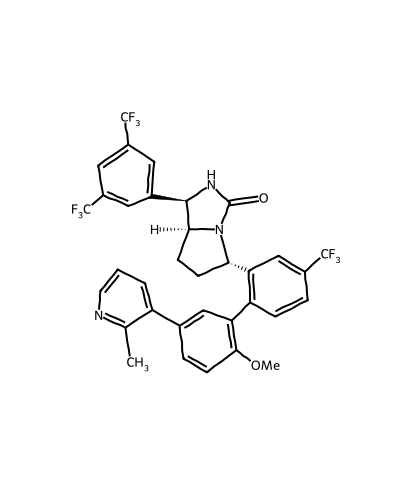 COc1ccc(-c2cccnc2C)cc1-c1ccc(C(F)(F)F)cc1[C@@H]1CC[C@H]2[C@@H](c3cc(C(F)(F)F)cc(C(F)(F)F)c3)NC(=O)N12